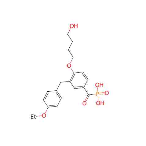 CCOc1ccc(Cc2cc(C(=O)P(=O)(O)O)ccc2OCCCCO)cc1